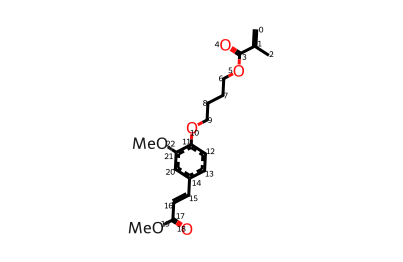 C=C(C)C(=O)OCCCCOc1ccc(C=CC(=O)OC)cc1OC